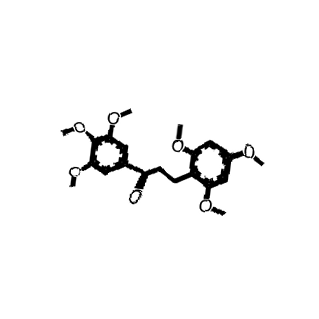 COc1cc(OC)c(CCC(=O)c2cc(OC)c(OC)c(OC)c2)c(OC)c1